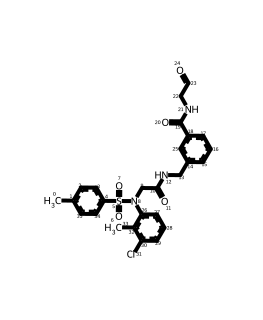 Cc1ccc(S(=O)(=O)N(CC(=O)NCc2cccc(C(=O)NCC=O)c2)c2cccc(Cl)c2C)cc1